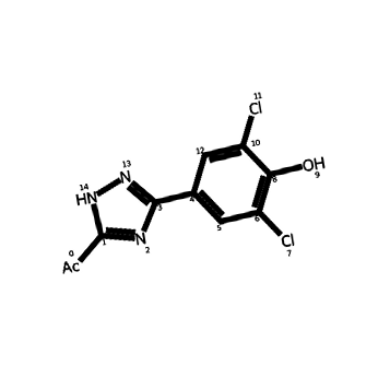 CC(=O)c1nc(-c2cc(Cl)c(O)c(Cl)c2)n[nH]1